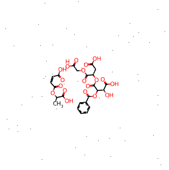 CC(OC(=O)/C=C\C(=O)O)C(=O)O.O=C(O)COC(=O)C(CC(=O)O)OC(=O)C(OC(=O)c1ccccc1)C(O)C(=O)O